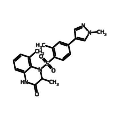 Cc1cc(-c2cnn(C)c2)ccc1S(=O)(=O)N1c2c(C)cccc2NC(=O)C1C